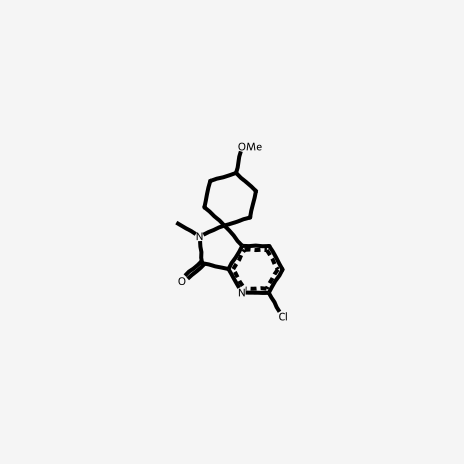 COC1CCC2(CC1)c1ccc(Cl)nc1C(=O)N2C